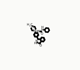 CN1CCN(c2ccc(-c3n[nH]c(=O)c4ccccc34)cc2NC(=O)NC2CCCCC2)CC1